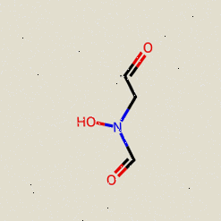 O=[C]CN(O)C=O